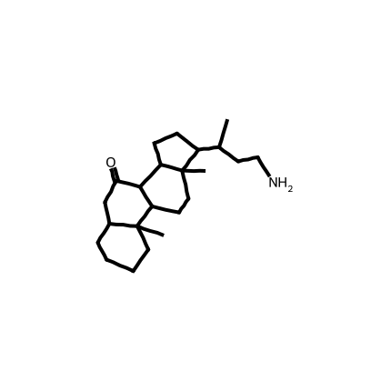 CC(CCN)C1CCC2C3C(=O)CC4CCCCC4(C)C3CCC12C